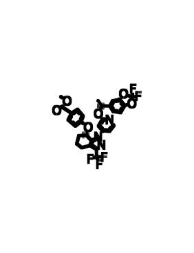 COC(=O)c1ccc(O[C@H]2CCCc3c(C(F)(F)F)nn(-c4ccnc(O[C@@H](C)c5ccc6c(c5)OC(F)(F)O6)c4)c32)cc1